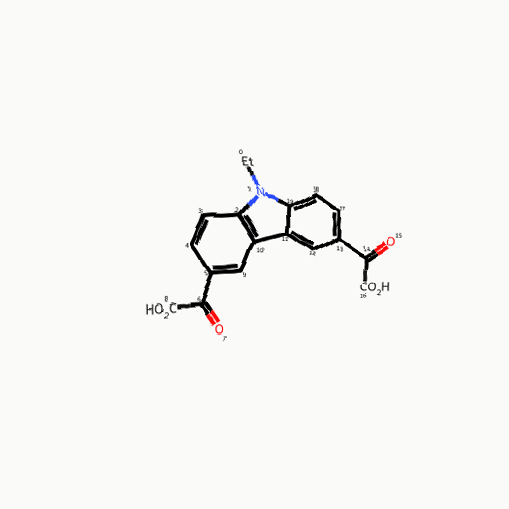 CCn1c2ccc(C(=O)C(=O)O)cc2c2cc(C(=O)C(=O)O)ccc21